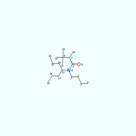 CCCCN(C(=O)C(C)C(C)(C)C)C(CCC)CCC